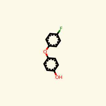 Oc1ccc(Oc2ccc(F)cc2)cc1